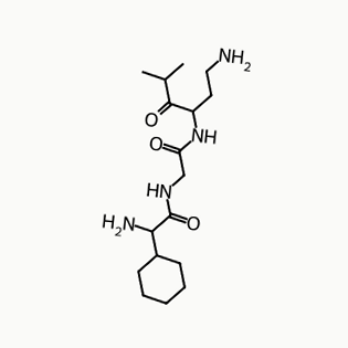 CC(C)C(=O)C(CCN)NC(=O)CNC(=O)C(N)C1CCCCC1